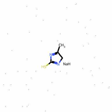 CC1=NC(S)=NC1.[NaH]